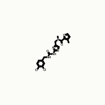 Cc1ccoc1C(=O)N(C)Cc1csc(NC(=O)NCc2ccc(Cl)c(Cl)c2)n1